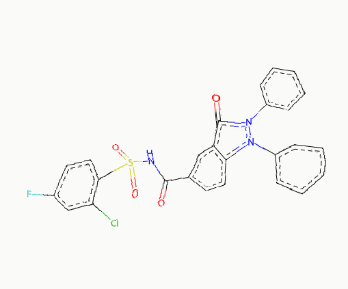 O=C(NS(=O)(=O)c1ccc(F)cc1Cl)c1ccc2c(c1)c(=O)n(-c1ccccc1)n2-c1ccccc1